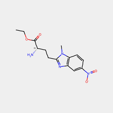 CCOC(=O)[C@@H](N)CCc1nc2cc([N+](=O)[O-])ccc2n1C